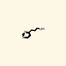 OCCCc1ccn[c]n1